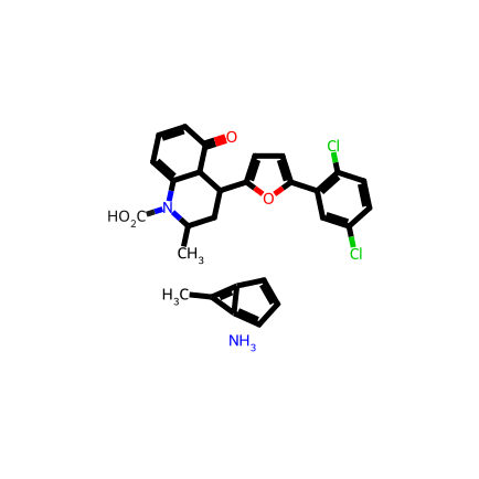 CC1CC(c2ccc(-c3cc(Cl)ccc3Cl)o2)C2C(=O)C=CC=C2N1C(=O)O.Cc1c2cccc1-2.N